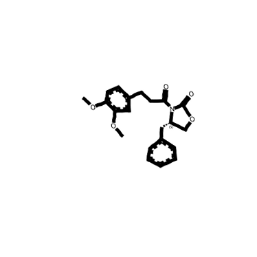 COc1ccc(CCC(=O)N2C(=O)OC[C@@H]2Cc2ccccc2)cc1OC